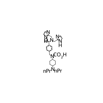 CCCN(CCC)C1CCC(N(Cc2ccc(C(=O)N(Cc3ncc[nH]3)Cc3ncc[nH]3)cc2)C(=O)O)CC1